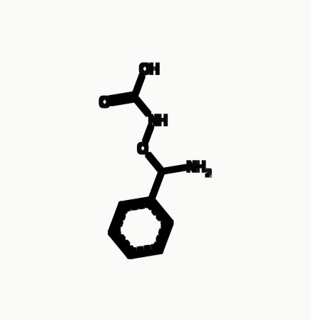 NC(ONC(=O)O)c1ccccc1